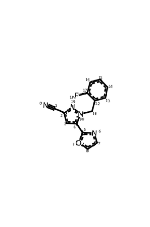 N#Cc1cc(-c2ncco2)n(Cc2ccccc2F)n1